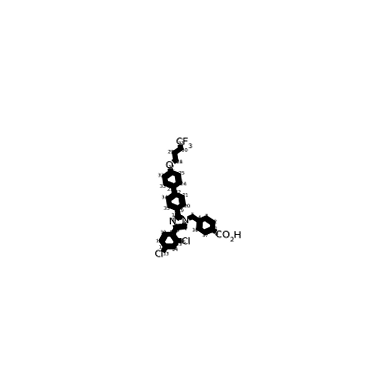 O=C(O)c1ccc(Cn2cc(-c3ccc(Cl)cc3Cl)nc2-c2ccc(-c3ccc(OCCCC(F)(F)F)cc3)cc2)cc1